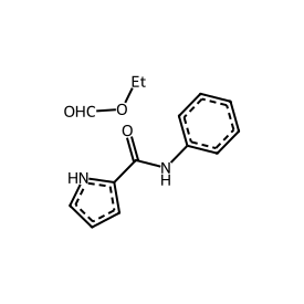 CCOC=O.O=C(Nc1ccccc1)c1ccc[nH]1